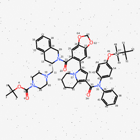 CC(C)(C)OC(=O)N1CCN(C[C@@H]2Cc3ccccc3CN2C(=O)c2cc3c(cc2-c2cc(C(=O)N(c4ccccc4)c4ccc(O[Si](C)(C)C(C)(C)C)cc4)c4n2CCCC4)OCO3)CC1